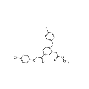 COC(=O)CC1CN(C(=O)COc2ccc(Cl)cc2)CCN1Cc1ccc(F)cc1